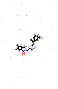 Cc1cc2c(cc1C)C(=O)N(CCCN(C)CCc1csc3ccc(Br)cc13)C2